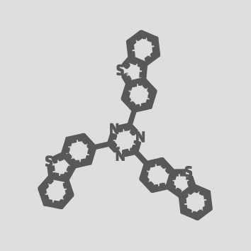 c1ccc2c(c1)sc1cc(-c3nc(-c4ccc5c(c4)sc4ccccc45)nc(-c4ccc5sc6ccccc6c5c4)n3)ccc12